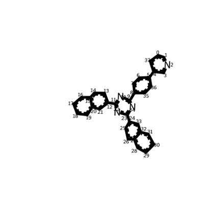 c1cncc(-c2ccc(-c3nc(-c4ccc5ccccc5c4)nc(-c4ccc5ccccc5c4)n3)cc2)c1